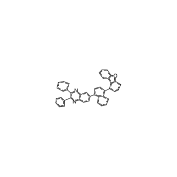 c1ccc(-c2nc3ccc(-c4ccc(-c5cccc6oc7ccccc7c56)c5ccccc45)cc3nc2-c2ccccc2)cc1